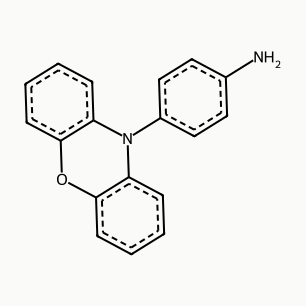 Nc1ccc(N2c3ccccc3Oc3ccccc32)cc1